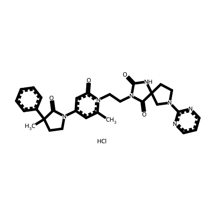 Cc1cc(N2CCC(C)(c3ccccc3)C2=O)cc(=O)n1CCN1C(=O)NC2(CCN(c3ncccn3)C2)C1=O.Cl